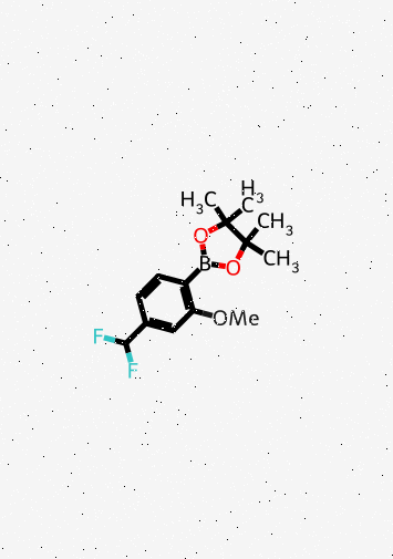 COc1cc(C(F)F)ccc1B1OC(C)(C)C(C)(C)O1